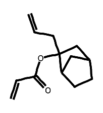 C=CCC1(OC(=O)C=C)CC2CCC1C2